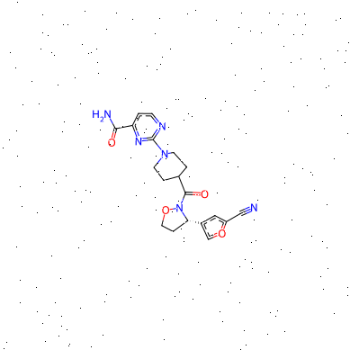 N#Cc1cc([C@@H]2CCON2C(=O)C2CCN(c3nccc(C(N)=O)n3)CC2)co1